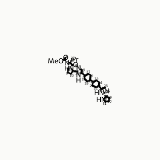 COC(=O)N[C@H](C(=O)N1CCCC1c1ncc(-c2ccc(-c3ccc(-c4cnc([C@@H]5CCCN5)[nH]4)cc3)cc2)[nH]1)C(C)C